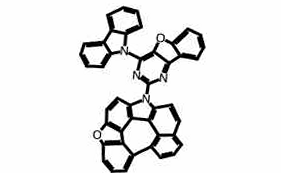 c1cc2c3c(c1)ccc1c3c3c4c(ccc3n1-c1nc(-n3c5ccccc5c5ccccc53)c3oc5ccccc5c3n1)oc1cccc-2c14